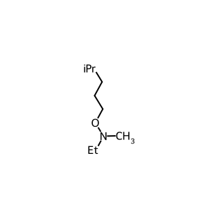 CCN(C)OCCCC(C)C